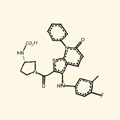 Cc1cc(Nc2c(C(=O)N3CC[C@H](NC(=O)O)C3)sc3c2ccc(=O)n3-c2ccccc2)ccc1F